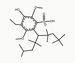 CCc1c(O)c(OC)c(S(=O)(=O)O)c(C(C(C)(C)CC(C)C)C(C)(C)CC(C)(C)C)c1OC